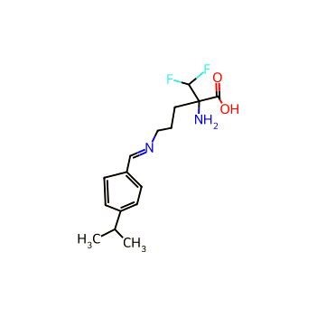 CC(C)c1ccc(C=NCCCC(N)(C(=O)O)C(F)F)cc1